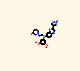 COc1cc(OC)cc(N(CCN2CCCC(=O)C2)c2ccc3ncc(-c4cnn(C)c4)nc3c2)c1